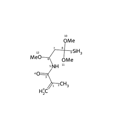 C=C(C)C(=O)NC(CC([SiH3])(OC)OC)OC